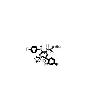 CCCCOC(=O)NN(C(=S)Nc1ccc(F)cc1)[C@H](C)[C@](O)(Cn1cncn1)c1ccc(F)cc1F